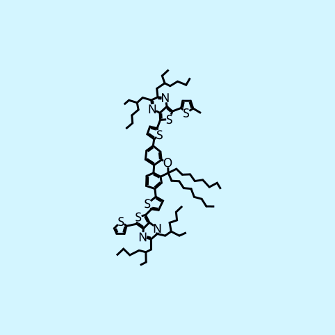 CCCCCCCCC1(CCCCCCCC)Oc2cc(-c3ccc(-c4sc(-c5ccc(C)s5)c5nc(CC(CC)CCCC)c(CC(CC)CCCC)nc45)s3)ccc2-c2ccc(-c3ccc(-c4sc(-c5cccs5)c5nc(CC(CC)CCCC)c(CC(CC)CCCC)nc45)s3)cc21